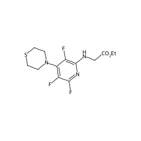 CCOC(=O)CNc1nc(F)c(F)c(N2CCSCC2)c1F